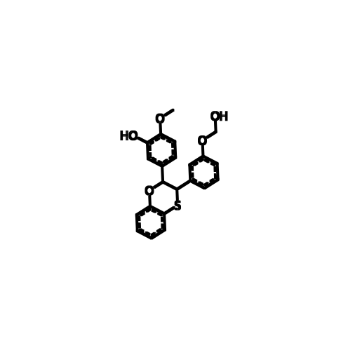 COc1ccc(C2Oc3ccccc3SC2c2cccc(OCO)c2)cc1O